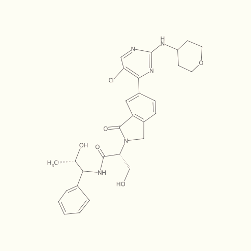 C[C@H](O)C(NC(=O)[C@@H](CO)N1Cc2ccc(-c3nc(NC4CCOCC4)ncc3Cl)cc2C1=O)c1ccccc1